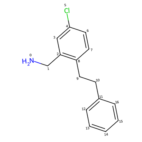 NCc1cc(Cl)ccc1CCc1ccccc1